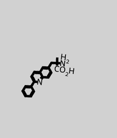 CC(N)(Cc1ccc2nc(-c3ccccc3)ccc2c1)C(=O)O